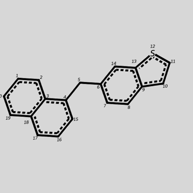 c1ccc2c(Cc3ccc4ccsc4c3)cccc2c1